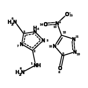 NNc1n[nH]c(N)n1.O=C1N=NC([N+](=O)[O-])=N1